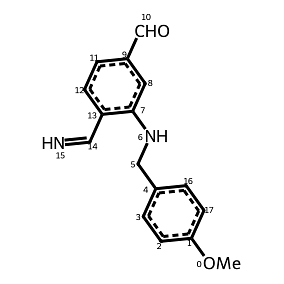 COc1ccc(CNc2cc(C=O)ccc2C=N)cc1